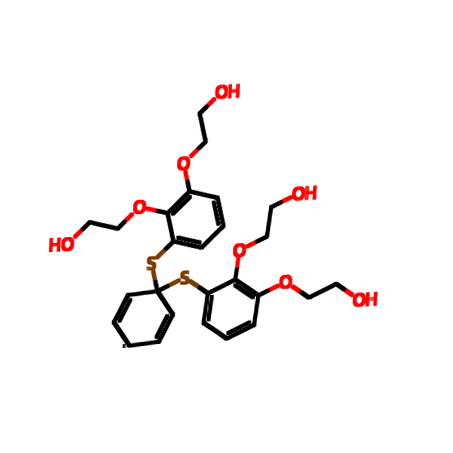 OCCOc1cccc(SC2(Sc3cccc(OCCO)c3OCCO)C=C[CH]C=C2)c1OCCO